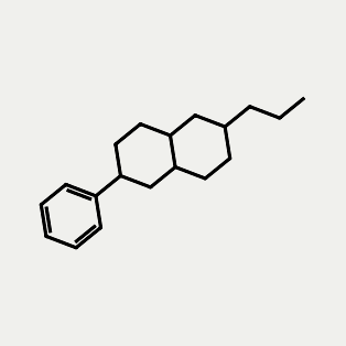 CCCC1CCC2CC(c3ccccc3)CCC2C1